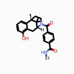 CCNC(=O)c1ccc(C(=O)N2CC[C@@]3(C)c4cccc(O)c4C[C@@H]2C3(C)C)cc1